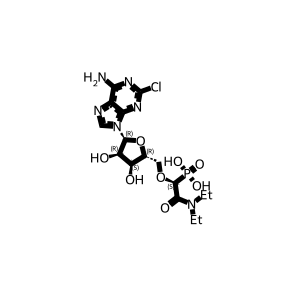 CCN(CC)C(=O)[C@@H](OC[C@H]1O[C@@H](n2cnc3c(N)nc(Cl)nc32)[C@H](O)[C@@H]1O)P(=O)(O)O